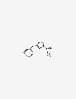 O=C(c1ccn(Cc2ccccc2)c1)C(F)(F)F